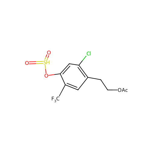 CC(=O)OCCc1cc(C(F)(F)F)c(O[SH](=O)=O)cc1Cl